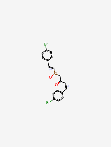 O=C(/C=C\c1ccc(Br)cc1)C[S+]([O-])/C=C/c1ccc(Br)cc1